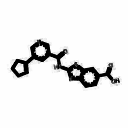 O=C(O)c1ccc2nc(NC(=O)c3cncc(C4=CCCC4)c3)sc2c1